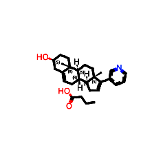 CCCC(=O)O.C[C@]12CC[C@H](O)CC1=CC[C@@H]1[C@@H]2CC[C@]2(C)C(c3cccnc3)=CC[C@@H]12